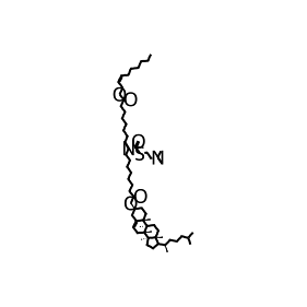 CCCCCC/C=C\COC(=O)CCCCCCCN(CCCCCCCC(=O)O[C@H]1CC[C@@]2(C)C(=CC[C@]3(C)[C@]2(C)CC[C@]2(C)C([C@H](C)CCCC(C)C)CC[C@@]32C)C1)C(=O)SCCN(C)C